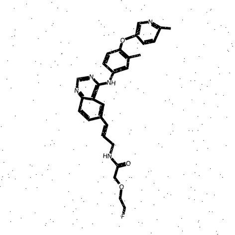 Cc1ccc(Oc2ccc(Nc3ncnc4ccc(/C=C/CNC(=O)COCCF)cc34)cc2C)cn1